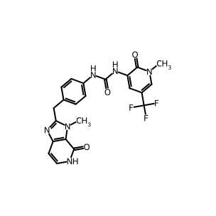 Cn1cc(C(F)(F)F)cc(NC(=O)Nc2ccc(Cc3nc4cc[nH]c(=O)c4n3C)cc2)c1=O